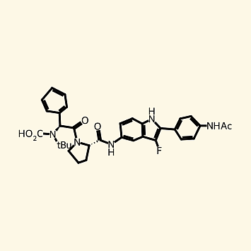 CC(=O)Nc1ccc(-c2[nH]c3ccc(NC(=O)[C@@H]4CCCN4C(=O)[C@H](c4ccccc4)N(C(=O)O)C(C)(C)C)cc3c2F)cc1